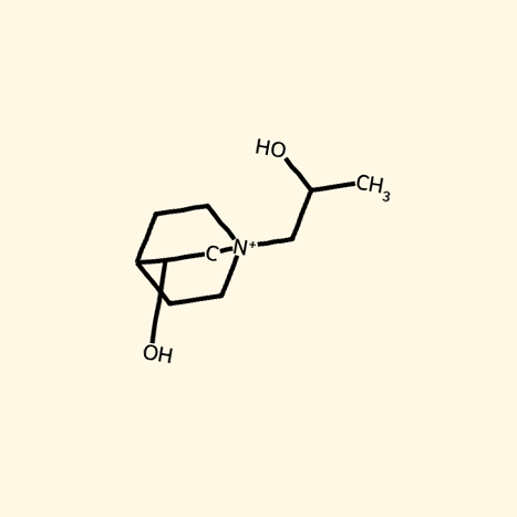 CC(O)C[N+]12CCC(CC1)C(O)C2